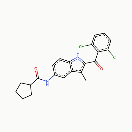 Cc1c(C(=O)c2c(Cl)cccc2Cl)[nH]c2ccc(NC(=O)C3CCCC3)cc12